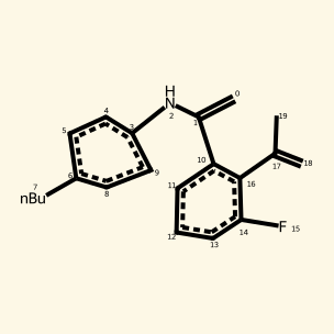 C=C(Nc1ccc(CCCC)cc1)c1cccc(F)c1C(=C)C